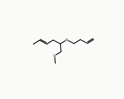 C=CCCOC(CC=CC)COC